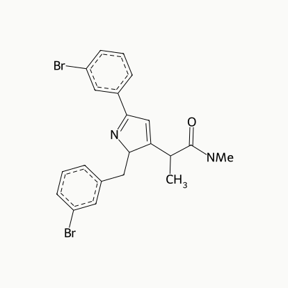 CNC(=O)C(C)C1=CC(c2cccc(Br)c2)=NC1Cc1cccc(Br)c1